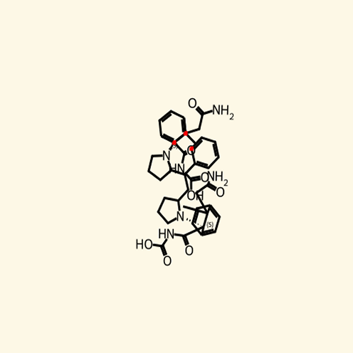 CC1(CC(N)=O)c2ccc(cc2)[C@]1(C(=O)NC(=O)O)N1CCCC1CC(c1ccccc1)C1CCCN1[C@@]1(C(=O)NC(=O)O)c2ccc(cc2)C1(C)CC(N)=O